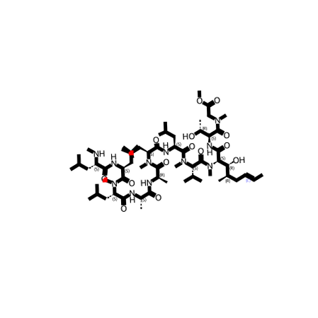 C/C=C/C[C@@H](C)[C@@H](O)[C@@H](C(=O)N[C@H](C(=O)N(C)CC(=O)OC)[C@@H](C)O)N(C)C(=O)[C@H](C(C)C)N(C)C(=O)[C@H](CC(C)C)NC(=O)[C@H](CC(C)C)N(C)C(=O)[C@@H](C)NC(=O)[C@H](C)NC(=O)[C@H](CC(C)C)N(C)C(=O)[C@H](CC(C)C)NC(=O)[C@H](CC(C)C)NC